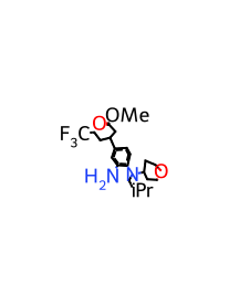 COC(=O)CC(CCC(F)(F)F)c1ccc(N(CC(C)C)C2CCOCC2)c(N)c1